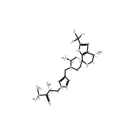 C[C@H]1C[C@@]2(CCN1Cc1cnn(C[C@@H](O)C(=O)N(C)C)c1)OC[C@@H](O)c1cc(C(F)(F)F)sc12